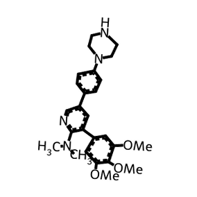 COc1cc(-c2cc(-c3ccc(N4CCNCC4)cc3)cnc2N(C)C)cc(OC)c1OC